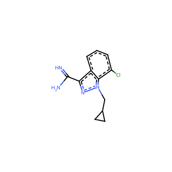 N=C(N)c1nn(CC2CC2)c2c(Cl)cccc12